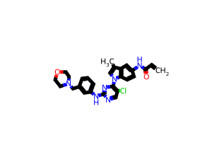 C=CC(=O)Nc1ccc2c(c1)c(C)cn2-c1nc(Nc2cccc(CN3CCOCC3)c2)ncc1Cl